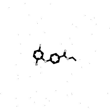 CCOC(=O)c1ccc(Oc2cc(F)ccc2Br)cc1